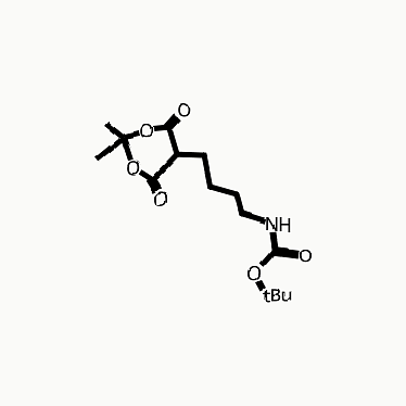 CC(C)(C)OC(=O)NCCCCC1C(=O)OC(C)(C)OC1=O